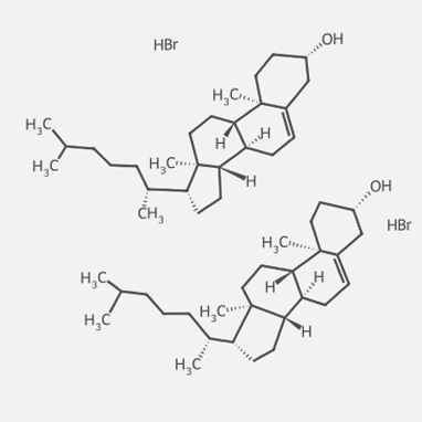 Br.Br.CC(C)CCC[C@@H](C)[C@H]1CC[C@H]2[C@@H]3CC=C4C[C@@H](O)CC[C@]4(C)[C@H]3CC[C@]12C.CC(C)CCC[C@@H](C)[C@H]1CC[C@H]2[C@@H]3CC=C4C[C@@H](O)CC[C@]4(C)[C@H]3CC[C@]12C